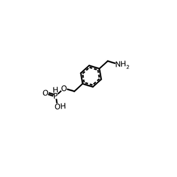 NCc1ccc(CO[PH](=O)O)cc1